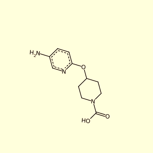 Nc1ccc(OC2CCN(C(=O)O)CC2)nc1